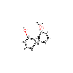 Oc1ccccc1.[Na+].[O-]c1ccccc1